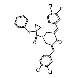 O=C1/C(=C/c2ccc(Cl)c(Cl)c2)CN(C(=O)C2(Nc3ccccc3)CC2)C/C1=C\c1ccc(Cl)c(Cl)c1